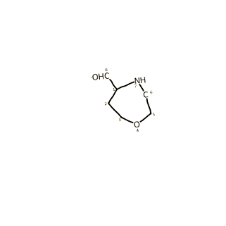 O=[C]C1CCOCCN1